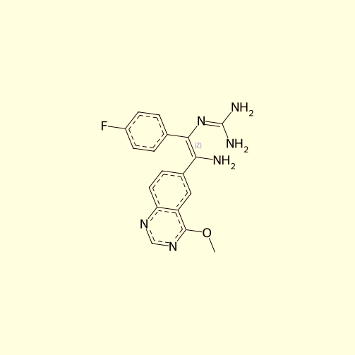 COc1ncnc2ccc(/C(N)=C(/N=C(N)N)c3ccc(F)cc3)cc12